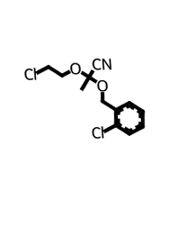 CC(C#N)(OCCCl)OCc1ccccc1Cl